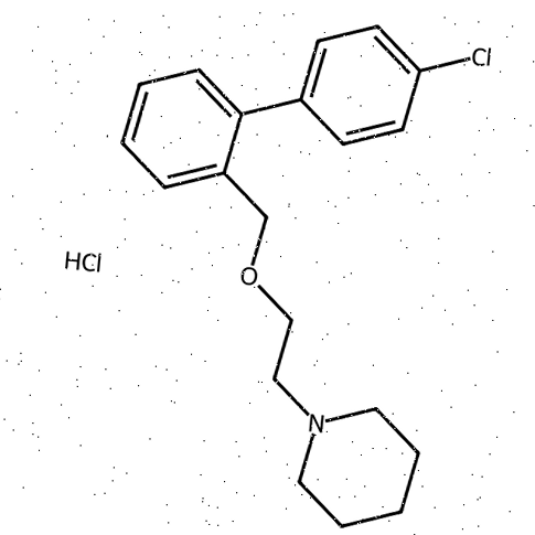 Cl.Clc1ccc(-c2ccccc2COCCN2CCCCC2)cc1